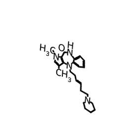 Cc1cn(C)c2c1N(CCC=CCCN1CCCCC1)c1ccccc1NC2=O